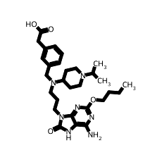 CCCCOc1nc(N)c2[nH]c(=O)n(CCCN(Cc3cccc(CC(=O)O)c3)C3CCN(C(C)C)CC3)c2n1